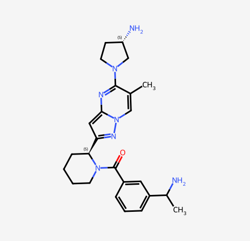 Cc1cn2nc([C@@H]3CCCCN3C(=O)c3cccc(C(C)N)c3)cc2nc1N1CC[C@H](N)C1